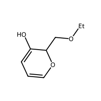 CCOCC1OC=CC=C1O